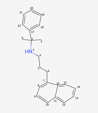 CC(C)(NCCCc1cccc2ccccc12)c1ccccc1